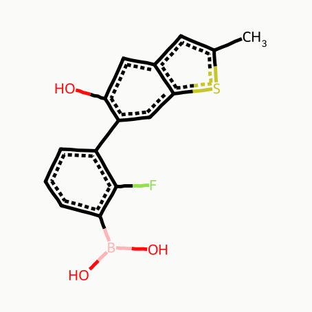 Cc1cc2cc(O)c(-c3cccc(B(O)O)c3F)cc2s1